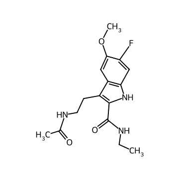 CCNC(=O)c1[nH]c2cc(F)c(OC)cc2c1CCNC(C)=O